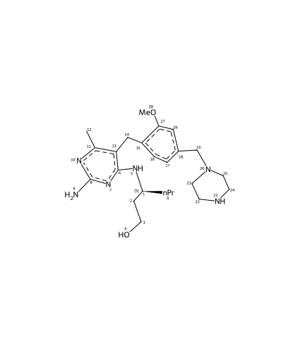 CCC[C@@H](CCO)Nc1nc(N)nc(C)c1Cc1ccc(CN2CCNCC2)cc1OC